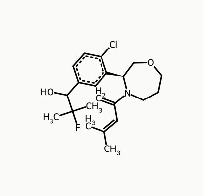 C=C(C=C(C)C)N1CCCOC[C@@H]1c1cc(C(O)C(C)(C)F)ccc1Cl